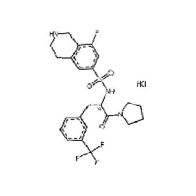 Cl.O=C([C@H](Cc1cccc(C(F)(F)F)c1)NS(=O)(=O)c1cc(F)c2c(c1)CCNC2)N1CCCC1